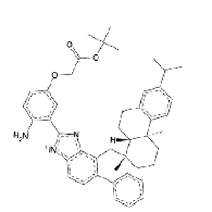 CC(C)c1ccc2c(c1)CC[C@H]1[C@@](C)(Cc3c(-c4ccccc4)ccc4[nH]c(-c5cc(OCC(=O)OC(C)(C)C)ccc5N)nc34)CCC[C@]21C